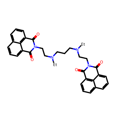 CCN(CCCN(CC)CCN1C(=O)c2cccc3cccc(c23)C1=O)CCN1C(=O)c2cccc3cccc(c23)C1=O